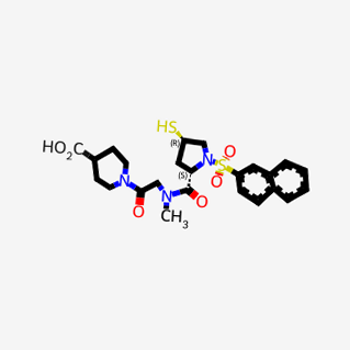 CN(CC(=O)N1CCC(C(=O)O)CC1)C(=O)[C@@H]1C[C@@H](S)CN1S(=O)(=O)c1ccc2ccccc2c1